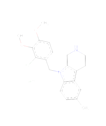 COc1ccc(Cn2c3c(c4cc(C)ccc42)CCNC3)c(Cl)c1OC.Cl